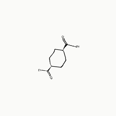 CCC(=O)[C@H]1CC[C@@H](C(=O)C(C)C)CC1